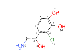 NCC(O)c1ccc(O)c(O)c1Cl